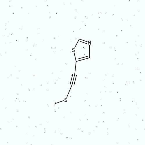 ISC#Cc1cncs1